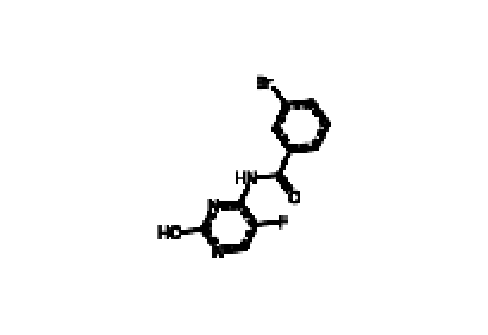 O=C(Nc1nc(O)ncc1F)c1cccc(Br)c1